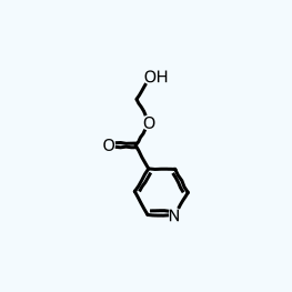 O=C(OCO)c1ccncc1